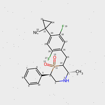 C[C@@H]1NC[C@@H](c2ccccc2)S(=O)(=O)C1Cc1cc(F)c(C2(C#N)CC2)cc1F